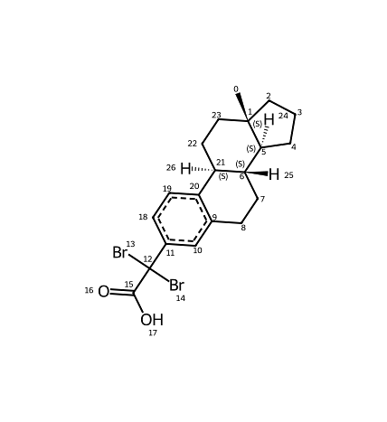 C[C@@]12CCC[C@H]1[C@@H]1CCc3cc(C(Br)(Br)C(=O)O)ccc3[C@H]1CC2